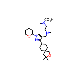 CN(CCN(C)C(=O)O)Cc1cn(C2CCCCO2)nc1C1CCC2(CC1)COC(C)(C)C2